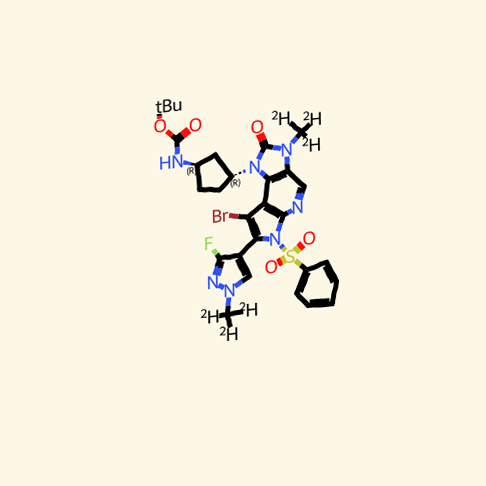 [2H]C([2H])([2H])n1cc(-c2c(Br)c3c(ncc4c3n([C@@H]3CC[C@@H](NC(=O)OC(C)(C)C)C3)c(=O)n4C([2H])([2H])[2H])n2S(=O)(=O)c2ccccc2)c(F)n1